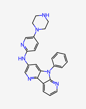 c1ccc(-n2c3cc(Nc4ccc(N5CCNCC5)cn4)cnc3c3cccnc32)cc1